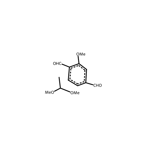 COC(C)OC.COc1cc(C=O)ccc1C=O